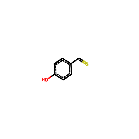 Oc1ccc(C=S)cc1